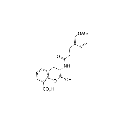 C=N/C(=C\OC)CCC(=O)N[C@H]1Cc2cccc(C(=O)O)c2OB1O